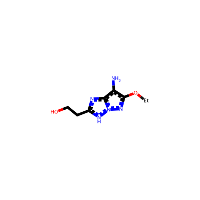 CCOc1nn2[nH]c(CCO)nc2c1N